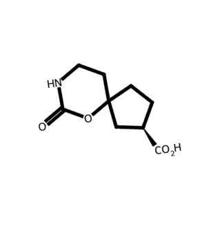 O=C1NCCC2(CC[C@@H](C(=O)O)C2)O1